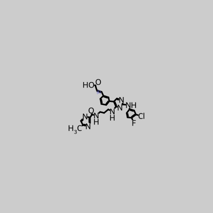 Cc1cnc(C(=O)NCCCNc2nc(Nc3ccc(F)c(Cl)c3)ncc2-c2cccc(/C=C/C(=O)O)c2)cn1